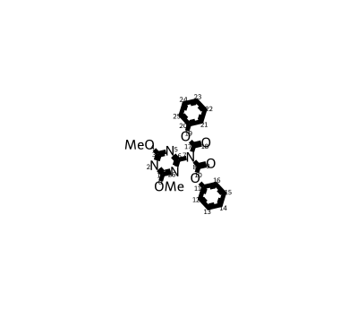 COc1nc(OC)nc(N(C(=O)Oc2ccccc2)C(=O)Oc2ccccc2)n1